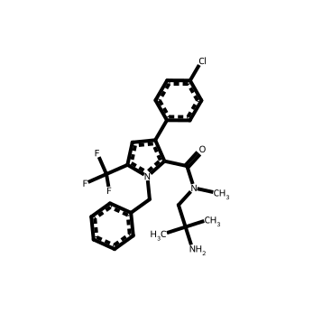 CN(CC(C)(C)N)C(=O)c1c(-c2ccc(Cl)cc2)cc(C(F)(F)F)n1Cc1ccccc1